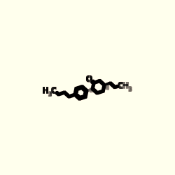 CCCCc1ccc([C@H]2CC[C@H](CCC)CC2=O)cc1